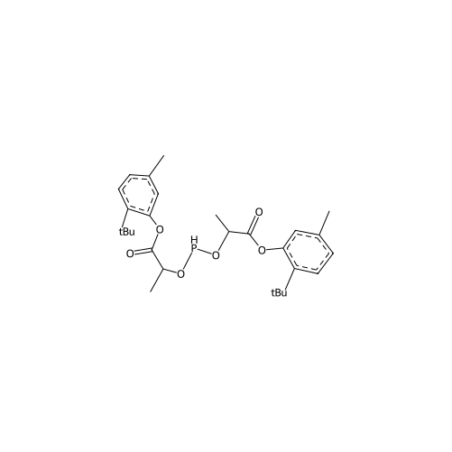 Cc1ccc(C(C)(C)C)c(OC(=O)C(C)OPOC(C)C(=O)Oc2cc(C)ccc2C(C)(C)C)c1